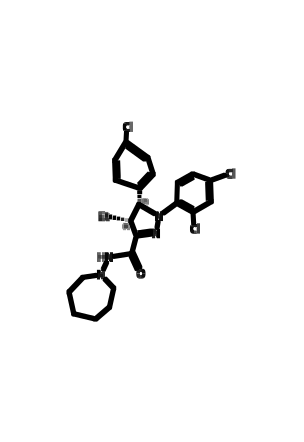 CC[C@H]1C(C(=O)NN2CCCCCC2)=NN(c2ccc(Cl)cc2Cl)[C@H]1c1ccc(Cl)cc1